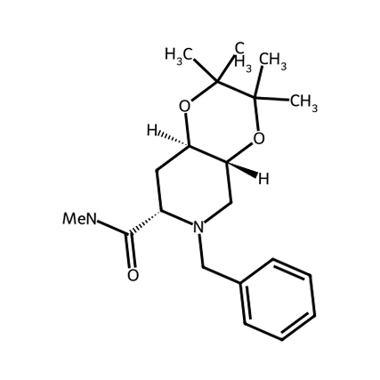 CNC(=O)[C@@H]1C[C@H]2OC(C)(C)C(C)(C)O[C@@H]2CN1Cc1ccccc1